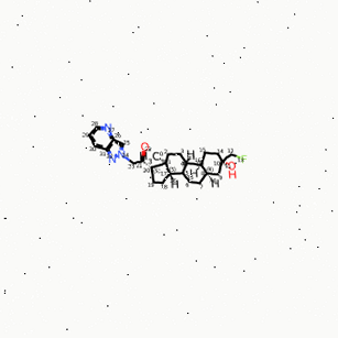 C[C@]12CC[C@H]3C(CC[C@@H]4C[C@@](O)(CF)CC[C@@H]43)[C@@H]1CC[C@@H]2C(=O)Cn1cc2ncccc2n1